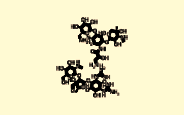 CN[C@@H]1[C@@H](O)[C@@H](O[C@@H]2[C@@H](O)[C@H](O[C@H]3O[C@H](CN)[C@@H](O)[C@H](O)[C@H]3O)[C@@H](N)C[C@H]2NC(=O)C(O)CN)OC[C@]1(C)O.CN[C@@H]1[C@H](O[C@H]2[C@H](O[C@H]3[C@H](O)[C@@H](O)[C@H](NC(=N)N)[C@@H](O)[C@@H]3NC(=N)N)O[C@@H](C)[C@]2(O)C=O)O[C@@H](CO)[C@H](O)[C@H]1O